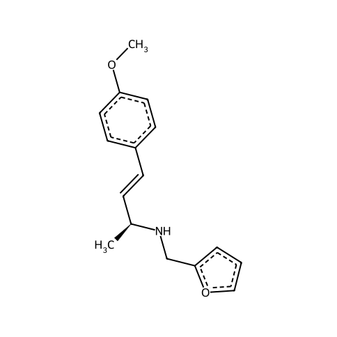 COc1ccc(/C=C/[C@H](C)NCc2ccco2)cc1